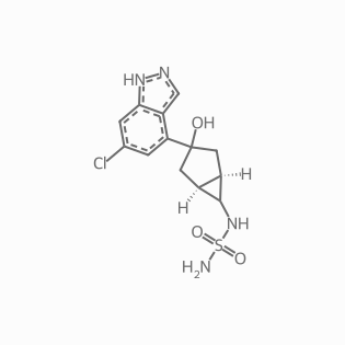 NS(=O)(=O)NC1[C@H]2CC(O)(c3cc(Cl)cc4[nH]ncc34)C[C@@H]12